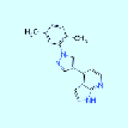 Cc1ccc(C)c(-n2cc(-c3ccnc4[nH]ccc34)cn2)c1